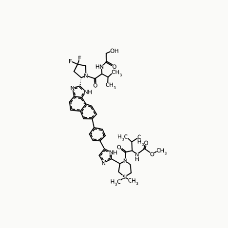 COC(=O)NC(C(=O)N1CC[Si](C)(C)CC1c1ncc(-c2ccc(-c3ccc4c(ccc5nc([C@@H]6CC(F)(F)CN6C(=O)C(NC(=O)CO)C(C)C)[nH]c54)c3)cc2)[nH]1)C(C)C